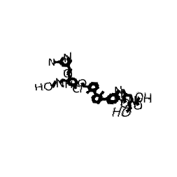 Cc1c(COc2cc(OCc3cncc(C#N)c3)c(CNCCO)cc2Cl)cccc1-c1cccc(-c2ccn3c(=O)c(CN(CCO)C(=O)O)cnc3c2)c1C